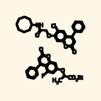 CCOC(=O)C(C)Oc1cc(F)c2c(-c3ccccc3)cc(=O)oc2c1.O=C(COc1cc2oc(=O)cc(-c3ccccc3)c2cc1Cl)NC1CCCCCCC1